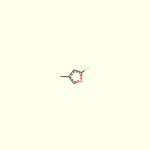 Cc1coc(F)c1